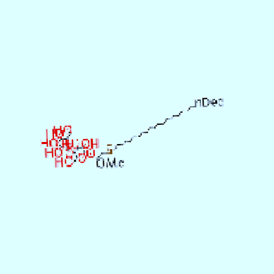 CCCCCCCCCCCCCCCCCCCCCCCCCCCCCCCSCCC(CO[C@@H]1OC(CO)[C@@H](O[C@@H]2OC(CO)[C@H](O)[C@H](O)C2O)[C@H](O)C1O)OC